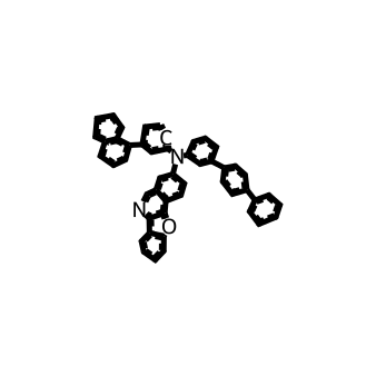 c1ccc(-c2ccc(-c3cccc(N(c4cccc(-c5cccc6ccccc56)c4)c4ccc5c(cnc6c7ccccc7oc56)c4)c3)cc2)cc1